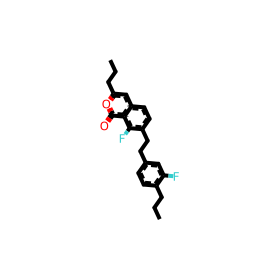 CCCc1cc2ccc(CCc3ccc(CCC)c(F)c3)c(F)c2c(=O)o1